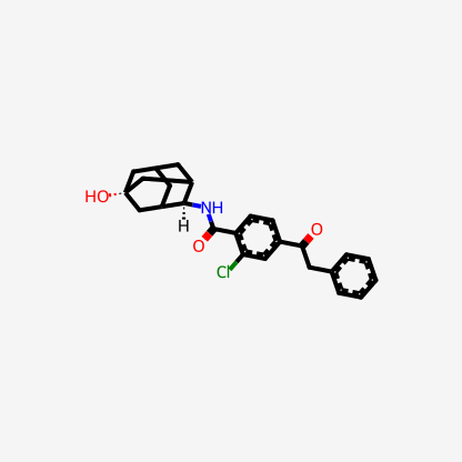 O=C(Cc1ccccc1)c1ccc(C(=O)N[C@H]2C3CC4CC2C[C@](O)(C4)C3)c(Cl)c1